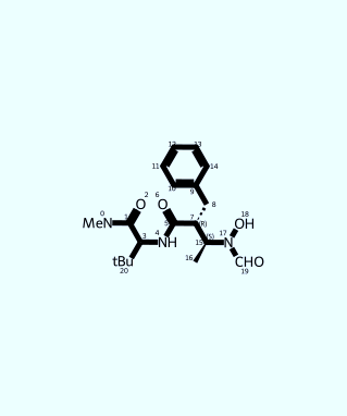 CNC(=O)C(NC(=O)[C@H](Cc1ccccc1)[C@H](C)N(O)C=O)C(C)(C)C